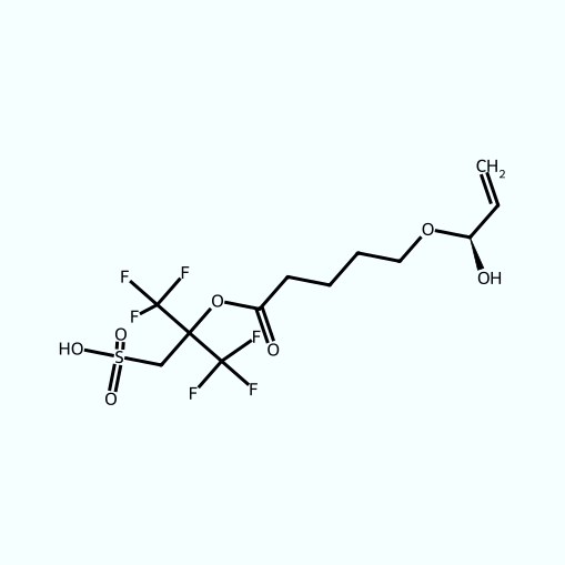 C=C[C@@H](O)OCCCCC(=O)OC(CS(=O)(=O)O)(C(F)(F)F)C(F)(F)F